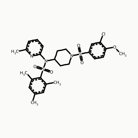 COc1ccc(S(=O)(=O)N2CCC(N(c3cccc(C)n3)S(=O)(=O)c3c(C)cc(C)cc3C)CC2)cc1Cl